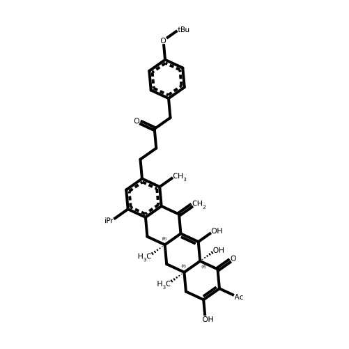 C=C1C2=C(O)[C@@]3(O)C(=O)C(C(C)=O)=C(O)C[C@@]3(C)C[C@@]2(C)Cc2c(C(C)C)cc(CCC(=O)Cc3ccc(OC(C)(C)C)cc3)c(C)c21